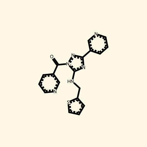 O=C(c1cccnc1)n1nc(-c2cccnc2)nc1NCc1cccs1